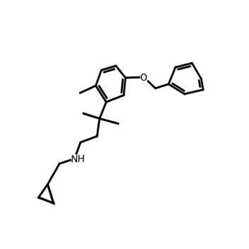 Cc1ccc(OCc2ccccc2)cc1C(C)(C)CCNCC1CC1